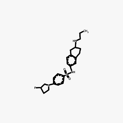 CCCNC1CCc2cc(NS(=O)(=O)c3ccc(N4CCC(F)C4)cc3)ccc2C1